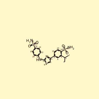 CC(C)c1cc(-c2csc(Nc3ccc(S(N)(=O)=O)cc3)n2)ccc1S(N)(=O)=O